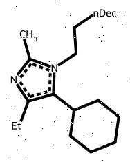 CCCCCCCCCCCCn1c(C)nc(CC)c1C1CCCCC1